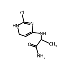 CC(NC1=CCNC(Cl)=N1)C(N)=O